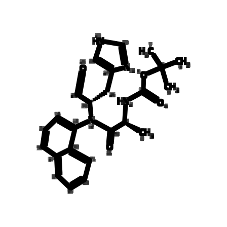 C[C@H](NC(=O)OC(C)(C)C)C(=O)N(c1cccc2ccccc12)[C@H]([C]=O)Cc1c[nH]cn1